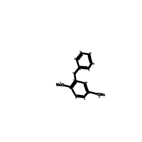 COc1ccc(OC)c(Cc2ccccc2)c1